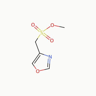 COS(=O)(=O)Cc1cocn1